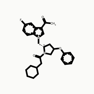 CC(=O)c1cn(C[C@@H]2CC(Oc3ccccc3)CN2C(=O)CC2CCCCC2)c2ccc(F)cc12